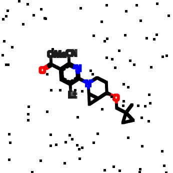 CCc1cc(C(=O)OC)c(C#N)nc1N1CCC(OCC2(C)CC2)C2CC21